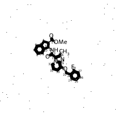 COC(=O)[C@@H]1Cc2ccccc2[C@H]1NC(=O)c1c(C)nc2c(OCc3ccccc3F)cccn12